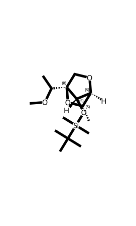 COC(C)[C@@]12CO[C@@H]([C@H](C)O1)[C@@H]2O[Si](C)(C)C(C)(C)C